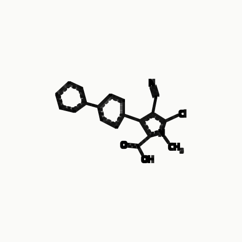 Cn1c(Cl)c(C#N)c(-c2ccc(-c3ccccc3)cc2)c1C(=O)O